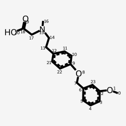 COc1cccc(COc2ccc(CCN(C)CC(=O)O)cc2)c1